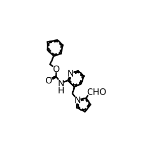 O=Cc1cccn1Cc1cccnc1NC(=O)OCc1ccccc1